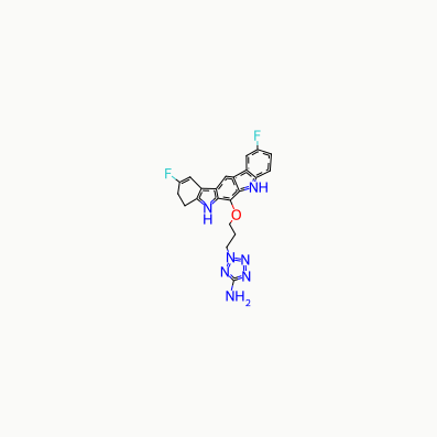 Nc1nnn(CCCOc2c3[nH]c4c(c3cc3c2[nH]c2ccc(F)cc23)C=C(F)CC4)n1